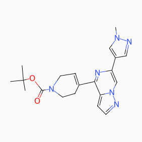 Cn1cc(-c2cn3nccc3c(C3=CCN(C(=O)OC(C)(C)C)CC3)n2)cn1